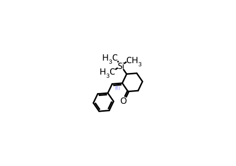 C[Si](C)(C)C1CCCC(=O)/C1=C\c1ccccc1